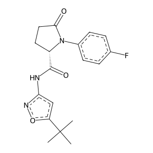 CC(C)(C)c1cc(NC(=O)[C@@H]2CCC(=O)N2c2ccc(F)cc2)no1